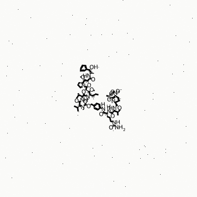 CC[C@H](C)[C@@H]([C@@H](CC(=O)N1CCC[C@H]1[C@H](OC)[C@@H](C)C(=O)N[C@H](C)[C@@H](O)c1ccccc1)OC)N(C)C(=O)[C@@H](NC(=O)[C@H](C(C)C)N(C)C(=O)OCc1ccc(NC(=O)[C@H](CCCNC(N)=O)NC(=O)[C@@H](NC(=O)c2ccc([N+](=O)[O-])c(S(C)(=O)=O)n2)C(C)C)cc1)C(C)C